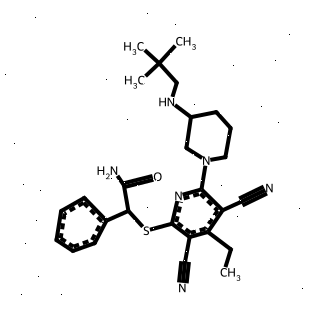 CCc1c(C#N)c(SC(C(N)=O)c2ccccc2)nc(N2CCCC(NCC(C)(C)C)C2)c1C#N